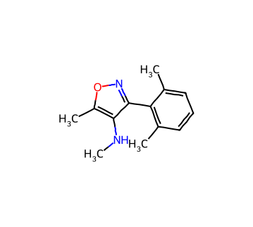 CNc1c(-c2c(C)cccc2C)noc1C